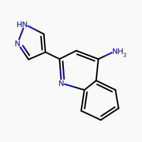 Nc1cc(-c2cn[nH]c2)nc2ccccc12